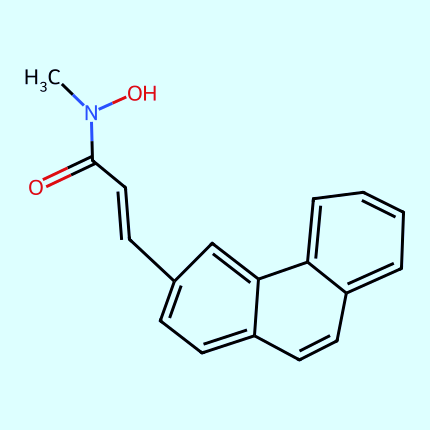 CN(O)C(=O)C=Cc1ccc2ccc3ccccc3c2c1